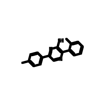 Cc1ccc(-c2cnc(-c3ccccc3C)c(S)n2)cc1